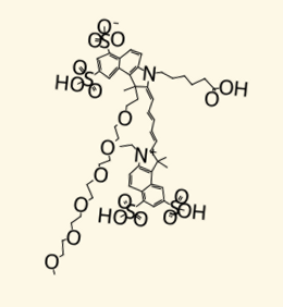 CC[N+]1=C(/C=C/C=C/C=C2/N(CCCCCC(=O)O)c3ccc4c(S(=O)(=O)[O-])cc(S(=O)(=O)O)cc4c3C2(C)CCOCCOCCOCCOCCOCCOC)C(C)(C)c2c1ccc1c(S(=O)(=O)O)cc(S(=O)(=O)O)cc21